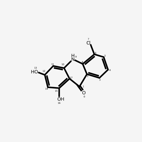 O=c1c2cccc(Cl)c2[nH]c2cc(O)cc(O)c12